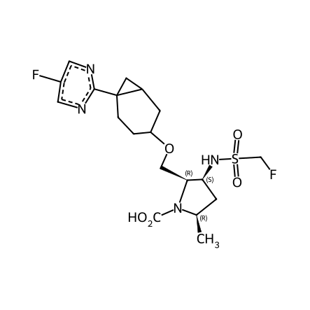 C[C@@H]1C[C@H](NS(=O)(=O)CF)[C@H](COC2CCC3(c4ncc(F)cn4)CC3C2)N1C(=O)O